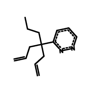 C=CCC(CC=C)(CCC)c1cccnn1